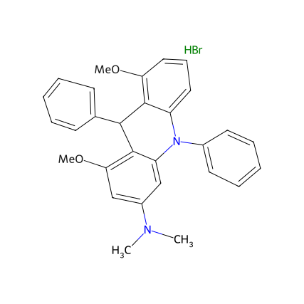 Br.COc1cccc2c1C(c1ccccc1)c1c(OC)cc(N(C)C)cc1N2c1ccccc1